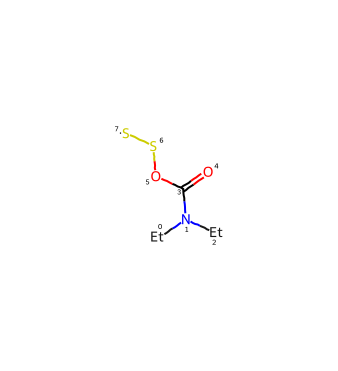 CCN(CC)C(=O)OS[S]